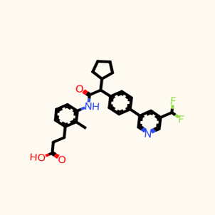 Cc1c(CCC(=O)O)cccc1NC(=O)C(c1ccc(-c2cncc(C(F)F)c2)cc1)C1CCCC1